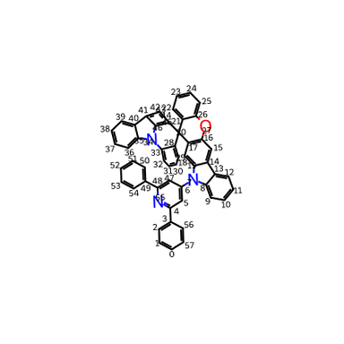 c1ccc(-c2cc(-n3c4ccccc4c4cc5c(cc43)C3(c4ccccc4O5)c4ccccc4-n4c5ccccc5c5cccc3c54)cc(-c3ccccc3)n2)cc1